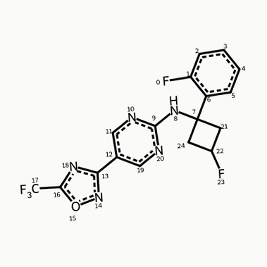 Fc1ccccc1C1(Nc2ncc(-c3noc(C(F)(F)F)n3)cn2)CC(F)C1